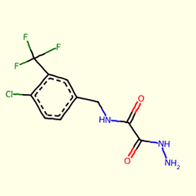 NNC(=O)C(=O)NCc1ccc(Cl)c(C(F)(F)F)c1